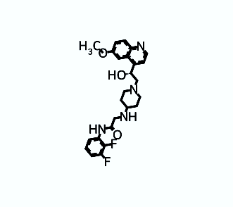 COc1ccc2nccc([C@@H](O)CN3CCC(NCC(=O)Nc4cccc(F)c4F)CC3)c2c1